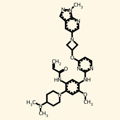 C=CC(=O)Nc1cc(Nc2nccc(OC3CN(c4cnc5c(cnn5C)c4)C3)n2)c(OC)cc1N1CCC(N(C)C)CC1